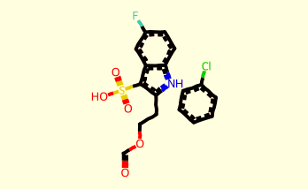 Clc1ccccc1.O=COCCc1[nH]c2ccc(F)cc2c1S(=O)(=O)O